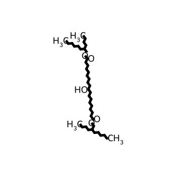 CCCCCCC(CCCC)COC(=O)CCCCCCCCC(O)CCCCCCCCC(=O)OCC(CCCC)CCCCCC